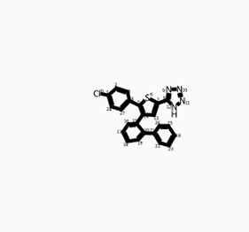 Clc1ccc(-c2sc(-c3nnn[nH]3)cc2-c2ccccc2-c2ccccc2)cc1